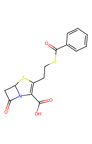 O=C(O)C1=C(CCSC(=O)c2ccccc2)SC2CC(=O)N12